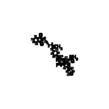 CN(CCC#CCN1C(=O)c2ccccc2C1=O)CC1CCC(n2cc(-n3cc(C(N)=O)c4nc(N5CCOCC5)cc[n+]43)c(C(F)F)n2)CC1